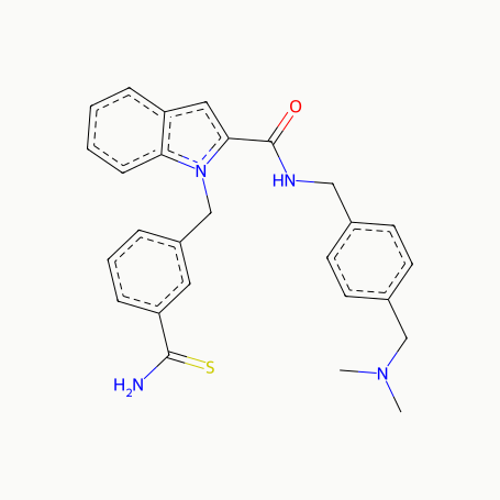 CN(C)Cc1ccc(CNC(=O)c2cc3ccccc3n2Cc2cccc(C(N)=S)c2)cc1